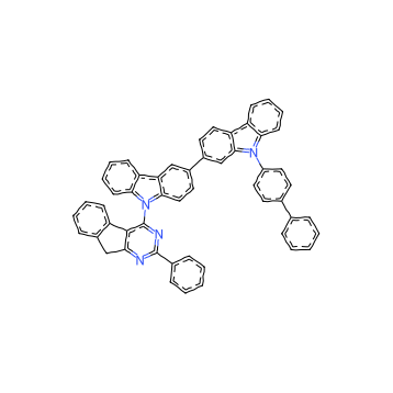 c1ccc(-c2ccc(-n3c4ccccc4c4ccc(-c5ccc6c(c5)c5ccccc5n6-c5nc(-c6ccccc6)nc6c5-c5ccccc5C6)cc43)cc2)cc1